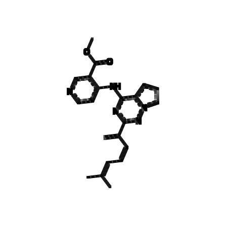 C=C(/C=C\C=C(C)C)c1nc(Nc2ccncc2C(=O)OC)c2cccn2n1